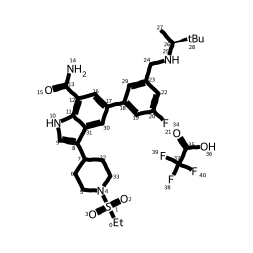 CCS(=O)(=O)N1CCC(c2c[nH]c3c(C(N)=O)cc(-c4cc(F)cc(CN[C@@H](C)C(C)(C)C)c4)cc23)CC1.O=C(O)C(F)(F)F